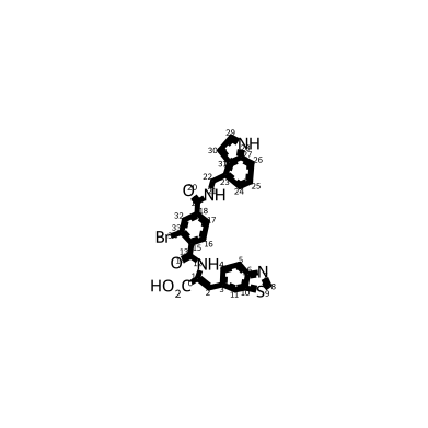 O=C(O)C(=Cc1ccc2ncsc2c1)NC(=O)c1ccc(C(=O)NCc2cccc3[nH]ccc23)cc1Br